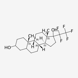 C[C@]12CCC(O)CC1CC[C@@H]1[C@H]2CC[C@@]2(C)[C@H]1CCC2(O)C(F)(F)C(F)(F)F